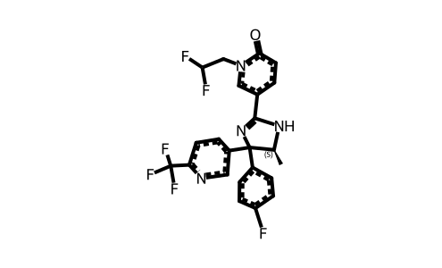 C[C@@H]1NC(c2ccc(=O)n(CC(F)F)c2)=NC1(c1ccc(F)cc1)c1ccc(C(F)(F)F)nc1